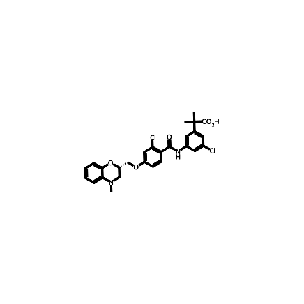 CN1C[C@@H](COc2ccc(C(=O)Nc3cc(Cl)cc(C(C)(C)C(=O)O)c3)c(Cl)c2)Oc2ccccc21